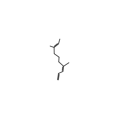 C=CC=C(C)CCCC(C)=CC